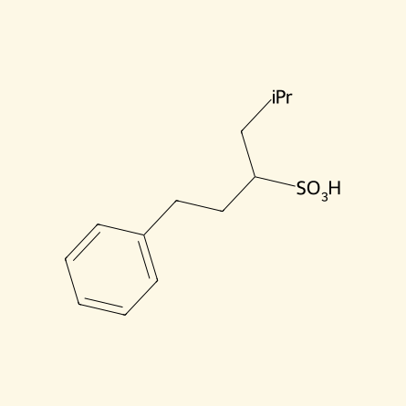 CC(C)CC(CCc1ccccc1)S(=O)(=O)O